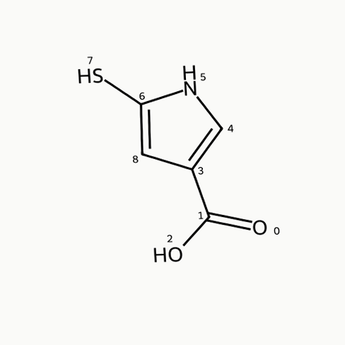 O=C(O)c1c[nH]c(S)c1